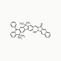 CC1(C)c2cc(/C=C3/C(=O)c4cc5ccccc5cc4C3O)ccc2-c2cc3c(cc21)N(c1ccccc1)c1ccccc1C3(C)C